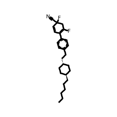 CCCCCC[C@H]1CC[C@H](CCc2ccc(C3=C(F)CC(F)(C#N)C=C3)cc2)CC1